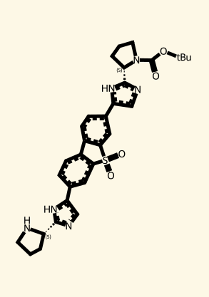 CC(C)(C)OC(=O)N1CCC[C@H]1c1ncc(-c2ccc3c(c2)S(=O)(=O)c2cc(-c4cnc([C@@H]5CCCN5)[nH]4)ccc2-3)[nH]1